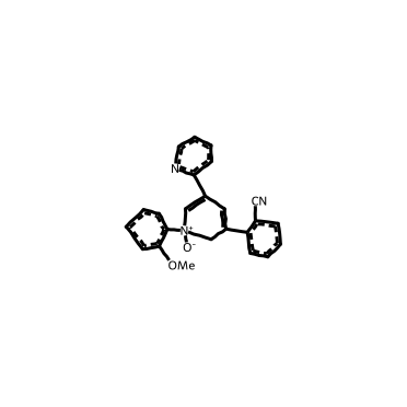 COc1ccccc1[N+]1([O-])C=C(c2ccccn2)C=C(c2ccccc2C#N)C1